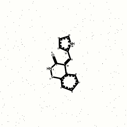 O=C1NSc2ccccc2C1=Cc1ccc[nH]1